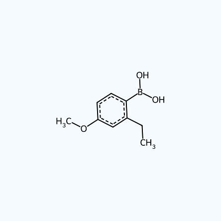 CCc1cc(OC)ccc1B(O)O